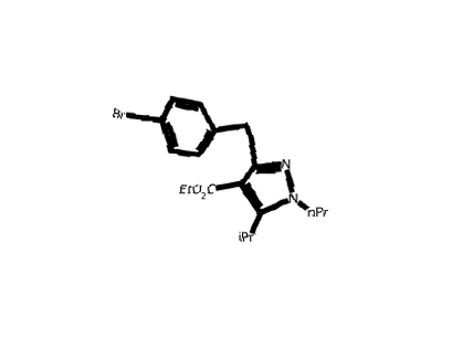 CCCn1nc(Cc2ccc(Br)cc2)c(C(=O)OCC)c1C(C)C